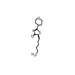 CCCCC/C=C1/SC(N2CCOCC2)=NC1=O